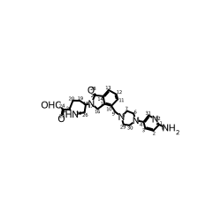 Nc1ccc(N2CCN(Cc3cccc4c3CN(C3CCC(C(=O)C=O)NC3)C4=O)CC2)cn1